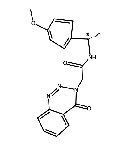 COc1ccc([C@H](C)NC(=O)Cn2nnc3ccccc3c2=O)cc1